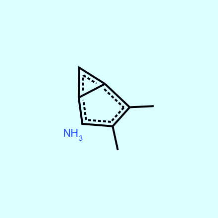 Cc1cc2cc-2c1C.N